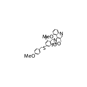 COc1ccc(CSc2cc(F)c(CN3C(=O)OCc4cnc5cccc(OC)c5c43)c(F)c2)cc1